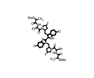 CCC(NC(=O)C(C)NC)C(=O)N1CC(F)CC1Cc1c(-c2nc3cc(F)ccc3n2CC2CC(F)CN2C(=O)C(NC(=O)C(C)NC)C(C)C)[nH]c2cc(Cl)ccc12